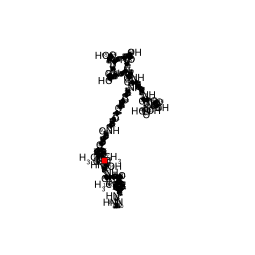 Cc1cc(OCCCC(=O)NCCCOCCOCCOCCCNC(=O)C(CCCCNC(=O)CN(CP(=O)(O)O)CP(=O)(O)O)NC(=O)CN2CCN(CC(=O)O)CCN(CC(=O)O)CCN(CC(=O)O)CC2)cc(C)c1S(=O)(=O)NC(CNC(=O)C1CC(=O)c2ccc(CNc3ncc[nH]3)cc2N1C)C(=O)O